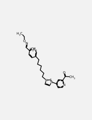 C=C(/C=C\C(=C/C)CCCCCCN1C=CN(c2ccnc(C(C)=O)c2)S1)/C=N/OCC